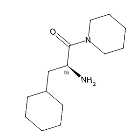 N[C@@H](CC1CCCCC1)C(=O)N1CCCCC1